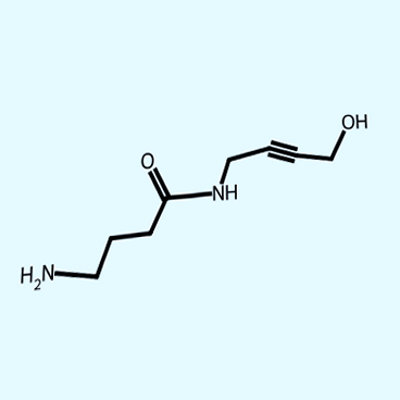 NCCCC(=O)NCC#CCO